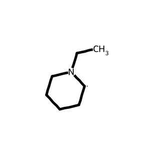 CCN1[CH]CCCC1